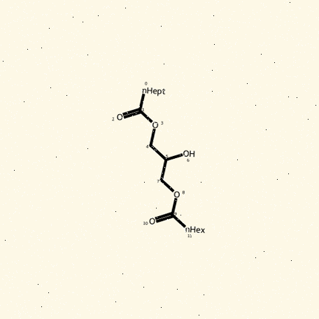 CCCCCCCC(=O)OCC(O)COC(=O)CCCCCC